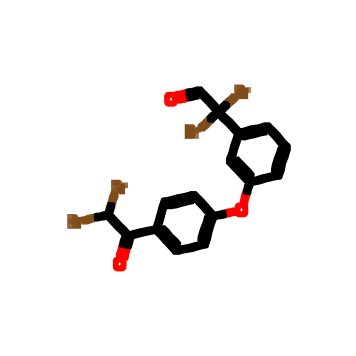 O=CC(Br)(Br)c1cccc(Oc2ccc(C(=O)C(Br)Br)cc2)c1